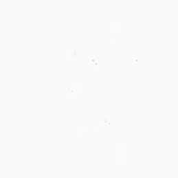 Bc1nc(CN(N)C=O)n(-c2ncccn2)n1